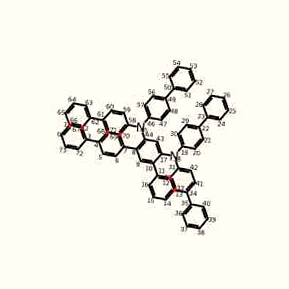 c1ccc(-c2ccc(-c3cc(-c4ccccc4)c(N(c4ccc(-c5ccccc5)cc4)c4ccc(-c5ccccc5)cc4)cc3N(c3ccc(-c4ccccc4)cc3)c3ccc(-c4ccccc4)cc3)cc2)cc1